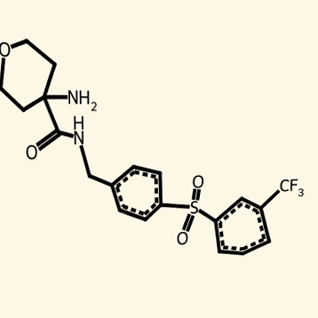 NC1(C(=O)NCc2ccc(S(=O)(=O)c3cccc(C(F)(F)F)c3)cc2)CCOCC1